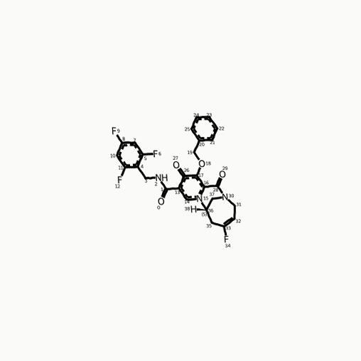 O=C(NCc1c(F)cc(F)cc1F)c1cn2c(c(OCc3ccccc3)c1=O)C(=O)N1CC=C(F)C[C@H]2C1